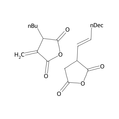 C=C1C(=O)OC(=O)C1CCCC.CCCCCCCCCCC=CC1CC(=O)OC1=O